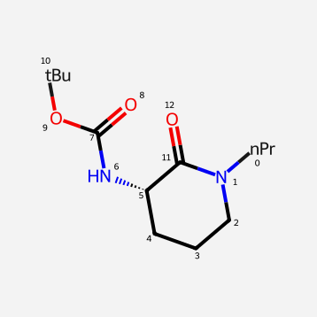 CCCN1CCC[C@H](NC(=O)OC(C)(C)C)C1=O